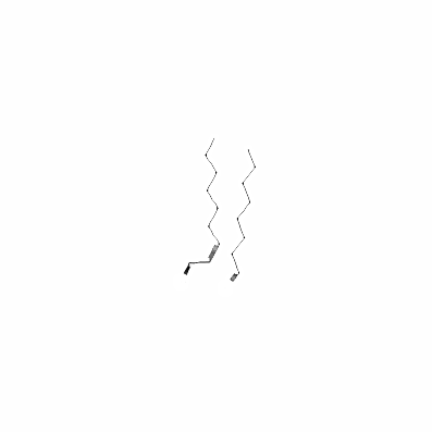 CCCCCC/C=C\C=O.CCCCCCCC=O